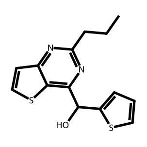 CCCc1nc(C(O)c2cccs2)c2sccc2n1